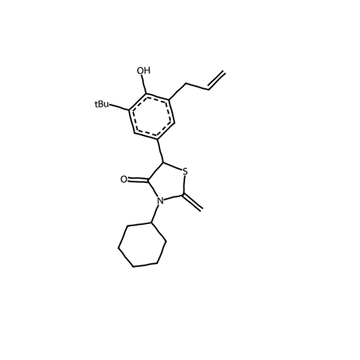 C=CCc1cc(C2SC(=C)N(C3CCCCC3)C2=O)cc(C(C)(C)C)c1O